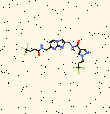 O=C(CCC(F)(F)F)NCc1ccn2cc(CNC(=O)c3cnn(CCC(F)(F)F)c3)nc2n1